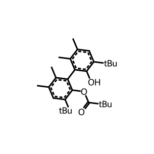 Cc1cc(C(C)(C)C)c(O)c(-c2c(C)c(C)cc(C(C)(C)C)c2OC(=O)C(C)(C)C)c1C